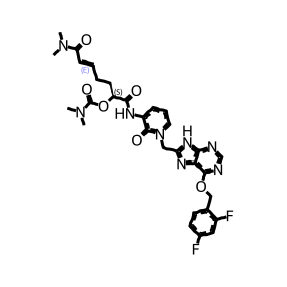 CN(C)C(=O)/C=C/CC[C@H](OC(=O)N(C)C)C(=O)Nc1cccn(Cc2nc3c(OCc4ccc(F)cc4F)ncnc3[nH]2)c1=O